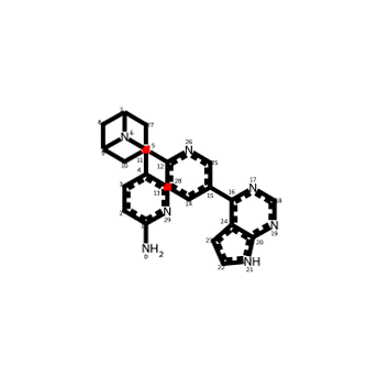 Nc1ccc(CN2C3CC2CN(c2ccc(-c4ncnc5[nH]ccc45)cn2)C3)cn1